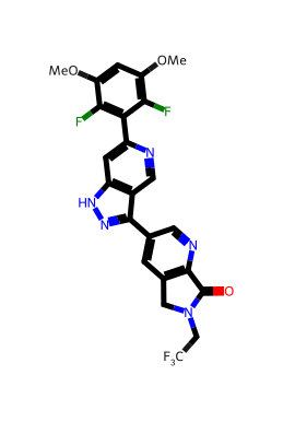 COc1cc(OC)c(F)c(-c2cc3[nH]nc(-c4cnc5c(c4)CN(CC(F)(F)F)C5=O)c3cn2)c1F